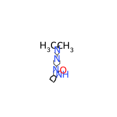 CC(C)N1CC(N2CCC(N3Cc4ccccc4NC3=O)CC2)C1